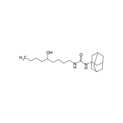 CCCCC(O)CCCCNC(=O)NC12CC3CC(CC(C3)C1)C2